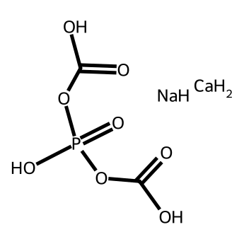 O=C(O)OP(=O)(O)OC(=O)O.[CaH2].[NaH]